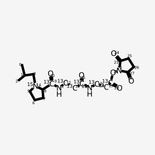 CC(C)C[15N]1CCCC1[13C](=O)N[13CH2][13CH2][13C](=O)[15NH][13CH2][13CH2][13C](=O)ON1C(=O)CCC1=O